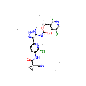 C[C@@H](OC(O)Nc1c(-c2ccc(NC(=O)C3(C#N)CC3)c(Cl)n2)nnn1C)c1cc(F)cnc1F